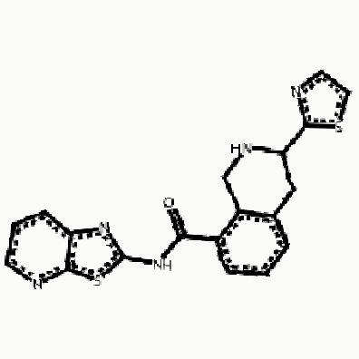 O=C(Nc1nc2cccnc2s1)c1cccc2c1CNC(c1nccs1)C2